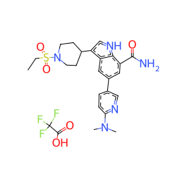 CCS(=O)(=O)N1CCC(c2c[nH]c3c(C(N)=O)cc(-c4ccc(N(C)C)nc4)cc23)CC1.O=C(O)C(F)(F)F